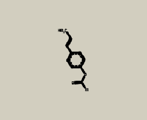 CCC(=O)Oc1ccc(/C=C/C(=O)O)cc1